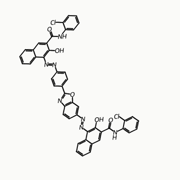 O=C(Nc1ccccc1Cl)c1cc2ccccc2c(N=Nc2ccc(-c3nc4ccc(N=Nc5c(O)c(C(=O)Nc6ccccc6Cl)cc6ccccc56)cc4o3)cc2)c1O